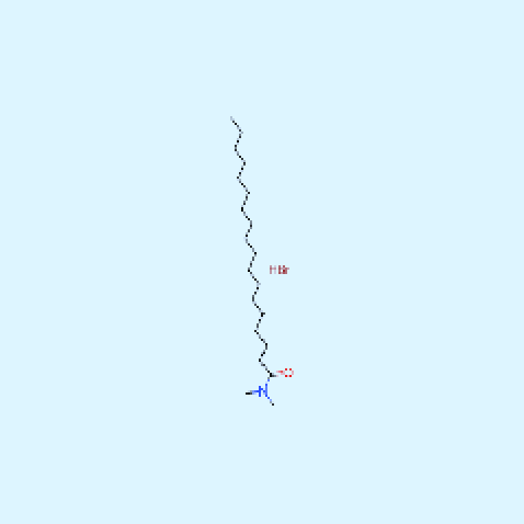 Br.CCCCCCCCCCCCCCCCCC(=O)N(C)C